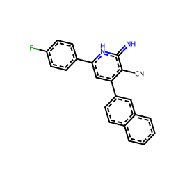 N#Cc1c(-c2ccc3ccccc3c2)cc(-c2ccc(F)cc2)[nH]c1=N